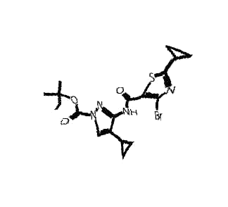 CC(C)(C)OC(=O)n1cc(C2CC2)c(NC(=O)c2sc(C3CC3)nc2Br)n1